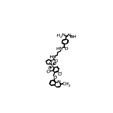 Cc1ccc2cccc(OCc3c(Cl)ccc(S(=O)(=O)N4CCC[C@H]4C(=O)NCCCNC(=O)c4ccc(/C(N)=N\O)cc4)c3Cl)c2n1